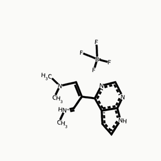 C/[NH+]=C/C(=C\N(C)C)c1ncnc2[nH]ccc12.F[B-](F)(F)F